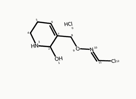 Cl.OC1NCCC=C1CON=CCl